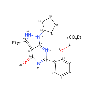 CCOC(=O)COc1ccccc1-c1nc2n(C3CCCC3)[nH]c(CC)c-2c(=O)n1